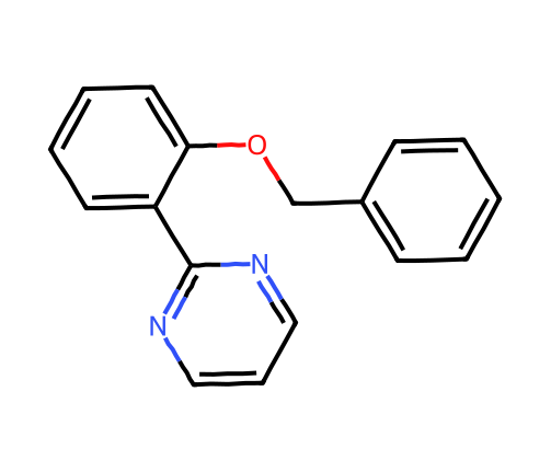 c1ccc(COc2ccccc2-c2ncccn2)cc1